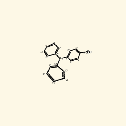 CC(C)(C)c1ccc(P(c2ccccc2)c2ccccc2)cc1